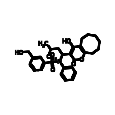 CC(C)CC(c1c(O)c2c(oc1=O)CCCCCC2)N(c1ccccc1)S(=O)(=O)c1cccc(CO)c1